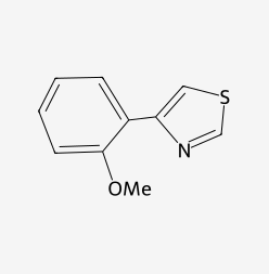 COc1ccccc1-c1cscn1